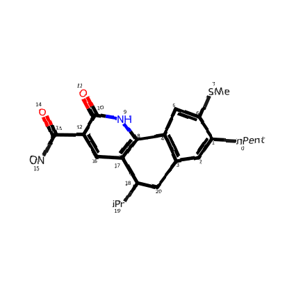 CCCCCc1cc2c(cc1SC)-c1[nH]c(=O)c(C(=O)N=O)cc1C(C(C)C)C2